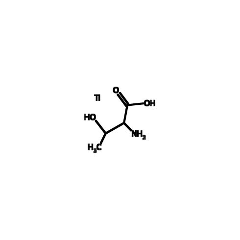 CC(O)C(N)C(=O)O.[Ti]